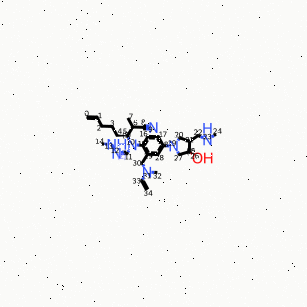 C=CCCC[C@@H](C(C)C#N)N(/C=N\NC)c1ccc(N2CC(CNC)[C@@H](O)C2)cc1CN(C)C=C